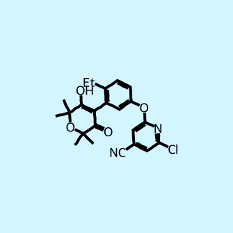 CCc1ccc(Oc2cc(C#N)cc(Cl)n2)cc1C1=C(O)C(C)(C)OC(C)(C)C1=O